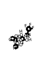 CN(C(=O)[C@H](S[C@@H]1O[C@H](CO)[C@H](O)[C@H](n2cc(-c3cc(F)c(F)c(F)c3)nn2)[C@H]1O)C1(O)CCOCC1)c1cccnc1